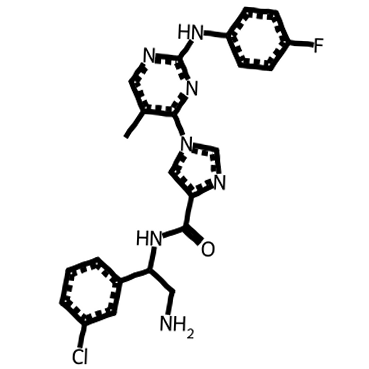 Cc1cnc(Nc2ccc(F)cc2)nc1-n1cnc(C(=O)NC(CN)c2cccc(Cl)c2)c1